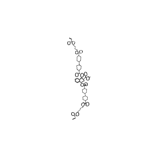 C=CC(=O)OCCCCOC(=O)C1CCC(C2CCC(C(=O)Oc3cc(C(=O)OC)c(OC(=O)C4CCC(C5CCC(C(=O)OCCCCOC(=O)C=C)CC5)CC4)c4ccccc34)CC2)CC1